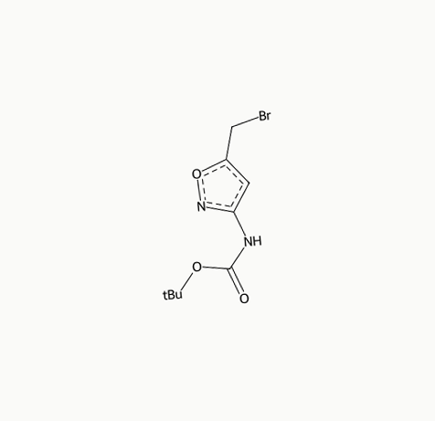 CC(C)(C)OC(=O)Nc1cc(CBr)on1